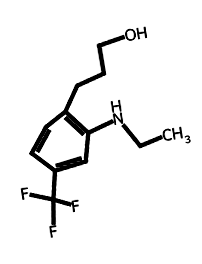 CCNc1cc(C(F)(F)F)ccc1CCCO